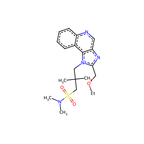 CCOCc1nc2cnc3ccccc3c2n1CC(C)(C)CS(=O)(=O)N(C)C